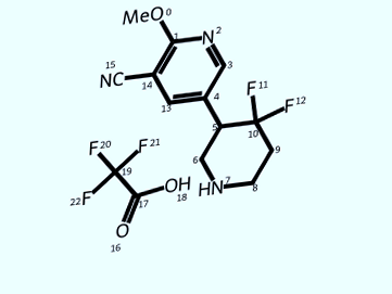 COc1ncc(C2CNCCC2(F)F)cc1C#N.O=C(O)C(F)(F)F